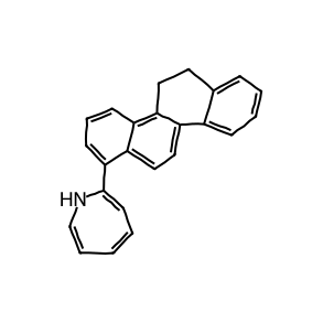 C1=CC=C(c2cccc3c4c(ccc23)-c2ccccc2CC4)NC=C1